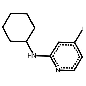 Ic1ccnc(NC2CCCCC2)c1